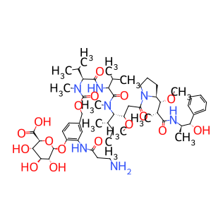 CC[C@H](C)[C@@H](C(CC(=O)N1CCC[C@H]1[C@H](OC)[C@@H](C)C(=O)N[C@H](C)[C@@H](O)c1ccccc1)OC)N(C)C(=O)C(NC(=O)[C@H](C(C)C)N(C)C(=O)OCc1ccc(O[C@@H]2O[C@H](C(=O)O)[C@@H](O)[C@H](O)[C@H]2O)c(NC(=O)CCN)c1)C(C)C